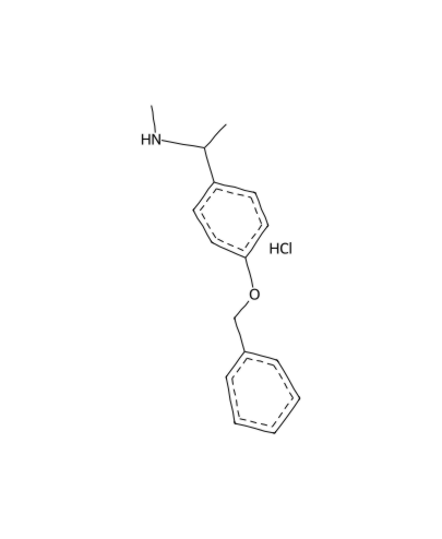 CNC(C)c1ccc(OCc2ccccc2)cc1.Cl